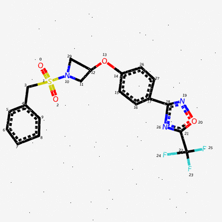 O=S(=O)(Cc1ccccc1)N1CC(Oc2ccc(-c3noc(C(F)(F)F)n3)cc2)C1